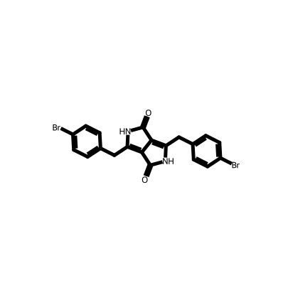 O=C1NC(Cc2ccc(Br)cc2)=C2C(=O)NC(Cc3ccc(Br)cc3)=C12